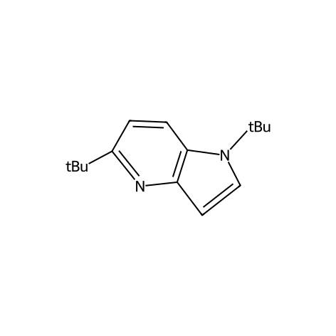 CC(C)(C)c1ccc2c(ccn2C(C)(C)C)n1